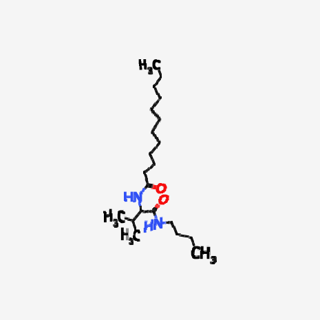 CCCCCCCCCCCC(=O)NC(C(=O)NCCCC)C(C)C